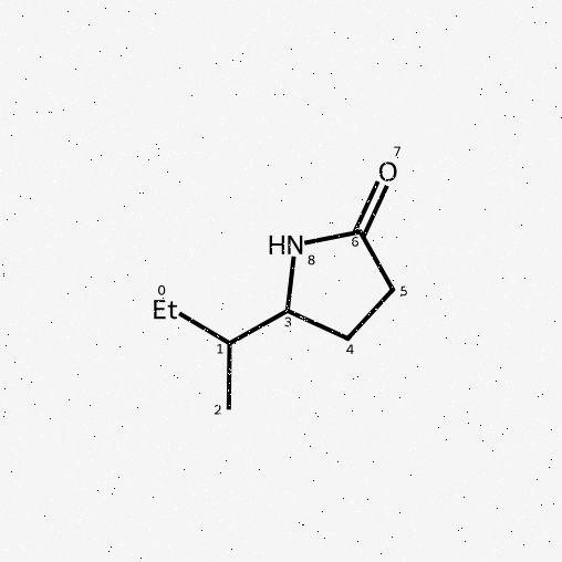 CCC(C)C1CCC(=O)N1